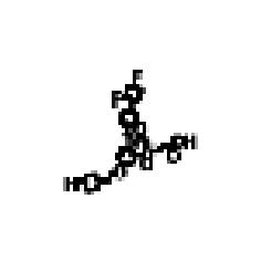 O=C(O)CCN1CC(=O)N(Cc2ccc(-c3ccc(F)cc3F)cc2)c2ccc(OCCC3CCNCC3)cc2C1=O